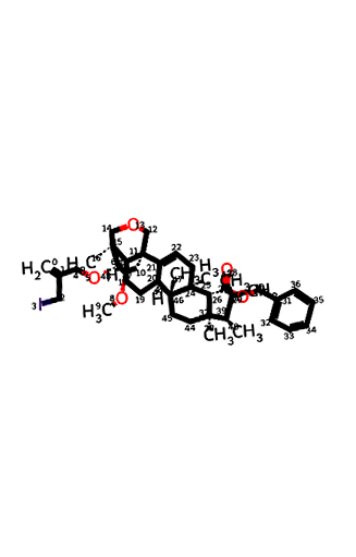 C=C(CI)CO[C@H]1[C@H](OC)C[C@@]23COC[C@@]1(C)[C@@H]2CC[C@H]1C3=CC[C@@]2(C)[C@H](C(=O)OCc3ccccc3)[C@@](C)([C@H](C)C(C)C)CC[C@]12C